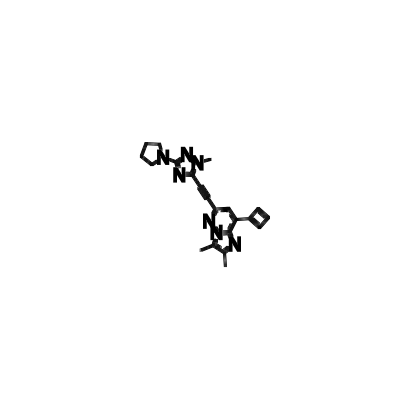 Cc1nc2c(C3=CC=C3)cc(C#Cc3nc(N4CCCC4)nn3C)nn2c1C